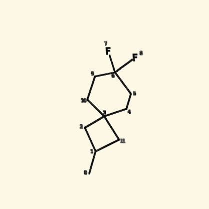 CC1CC2(CCC(F)(F)CC2)C1